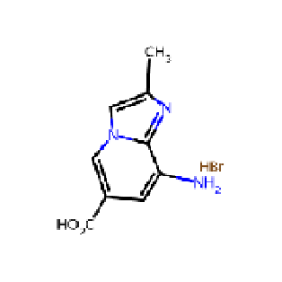 Br.Cc1cn2cc(C(=O)O)cc(N)c2n1